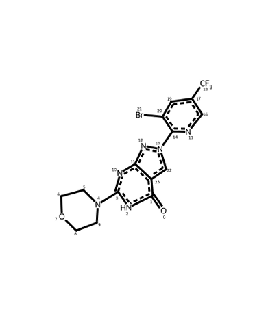 O=c1[nH]c(N2CCOCC2)nc2nn(-c3ncc(C(F)(F)F)cc3Br)cc12